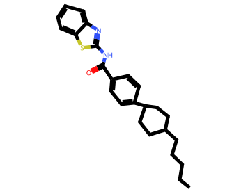 CCCCCC1CCC(c2ccc(C(=O)Nc3nc4ccccc4s3)cc2)CC1